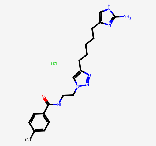 CC(C)(C)c1ccc(C(=O)NCCn2cc(CCCCCc3c[nH]c(N)n3)nn2)cc1.Cl